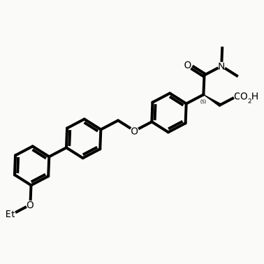 CCOc1cccc(-c2ccc(COc3ccc([C@H](CC(=O)O)C(=O)N(C)C)cc3)cc2)c1